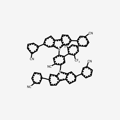 N#Cc1cccc(-c2ccc3c4ccc(-c5cccc(C#N)c5)cc4n(-c4cc(-c5c(C(F)(F)F)cccc5C(F)(F)F)c(-n5c6cc(-c7cccc(C#N)c7)ccc6c6ccc(-c7cccc(C#N)c7)cc65)cc4C#N)c3c2)c1